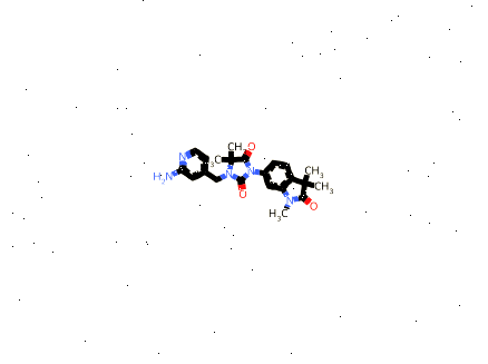 CN1C(=O)C(C)(C)c2ccc(N3C(=O)N(Cc4ccnc(N)c4)C(C)(C)C3=O)cc21